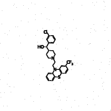 OC(c1cccc(Cl)c1)C1CCN(CCN2c3ccccc3Sc3ccc(C(F)(F)F)cc32)CC1